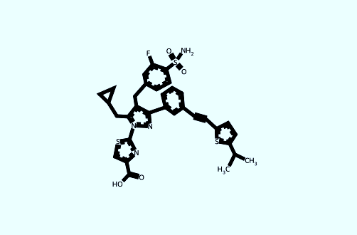 CC(C)c1ccc(C#Cc2cccc(-c3nn(-c4nc(C(=O)O)cs4)c(CC4CC4)c3Cc3ccc(S(N)(=O)=O)c(F)c3)c2)s1